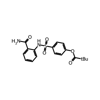 CC(C)(C)C(=O)Oc1ccc(S(=O)(=O)Nc2ccccc2C(N)=O)cc1